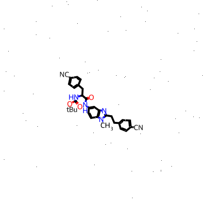 Cn1c(CCc2ccc(C#N)cc2)nc2cc(NC(=O)C(Cc3ccc(C#N)cc3)NC(=O)OC(C)(C)C)ccc21